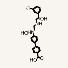 Cl.O=C(O)c1ccc(-c2ccc(NCCNC[C@H](O)c3cccc(Cl)c3)cc2)cc1